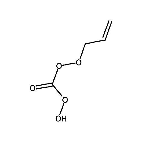 C=CCOOC(=O)OO